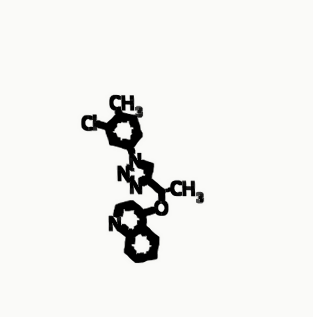 Cc1ccc(-n2cc([C@H](C)Oc3ccnc4ccccc34)nn2)cc1Cl